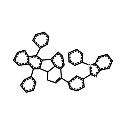 C1=C(c2cccc(-c3nc4ccccc4n3-c3ccccc3)c2)c2cccc3c2C(C1)c1c-3c(-c2ccccc2)c2ccccc2c1-c1ccccc1